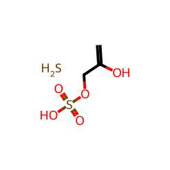 C=C(O)COS(=O)(=O)O.S